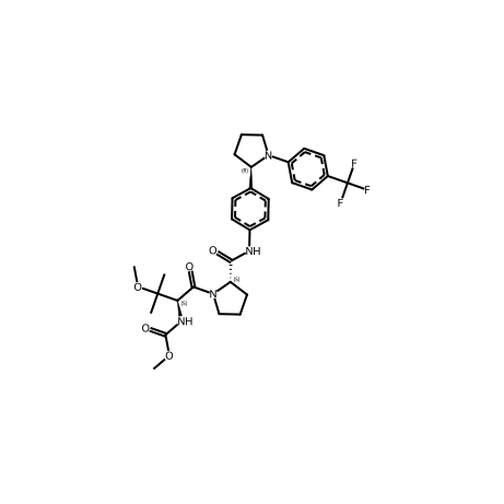 COC(=O)N[C@H](C(=O)N1CCC[C@H]1C(=O)Nc1ccc([C@H]2CCCN2c2ccc(C(F)(F)F)cc2)cc1)C(C)(C)OC